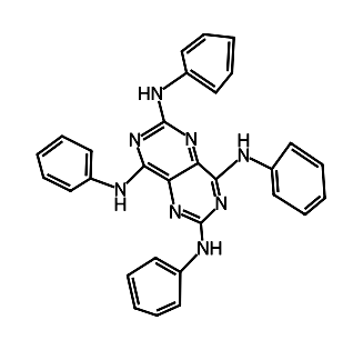 c1ccc(Nc2nc(Nc3ccccc3)c3nc(Nc4ccccc4)nc(Nc4ccccc4)c3n2)cc1